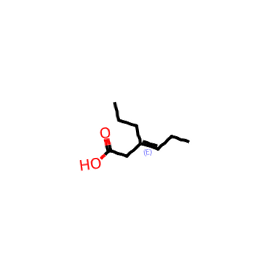 CC/C=C(\CCC)CC(=O)O